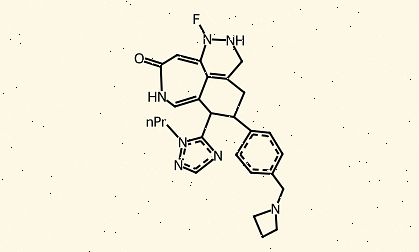 CCCn1ncnc1C1C2=CNC(=O)C=C3C2=C(CNN3F)CC1c1ccc(CN2CCC2)cc1